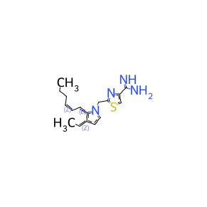 C/C=c1/ccn(Cc2nc(C(=N)N)cs2)/c1=C/C=C\CCC